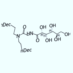 CCCCCCCCCCCCN(CCCCCCCCCCCC)C(=O)CNC(=O)[C@H](O)[C@@H](O)[C@H](O)[C@H](O)CO